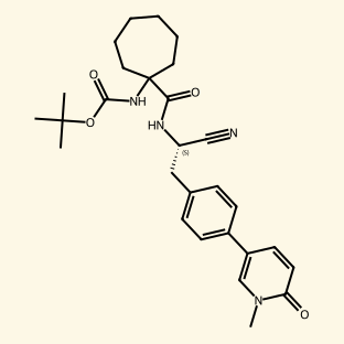 Cn1cc(-c2ccc(C[C@@H](C#N)NC(=O)C3(NC(=O)OC(C)(C)C)CCCCCC3)cc2)ccc1=O